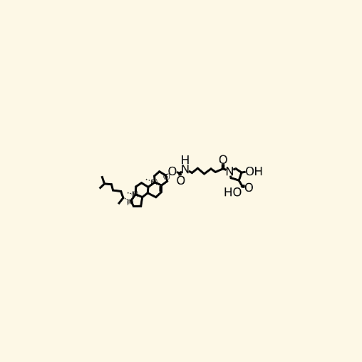 CC(C)CCCC(C)[C@H]1CCC2C3CC=C4C[C@@H](OC(=O)NCCCCCC(=O)N5CC(O)C(C(=O)O)C5)CC[C@]4(C)C3CC[C@@]21C